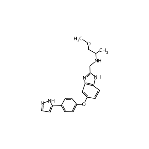 COCC(C)NCc1nc2cc(Oc3ccc(-c4ccn[nH]4)cc3)ccc2[nH]1